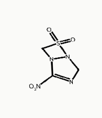 O=[N+]([O-])C1=NCN2N1CS2(=O)=O